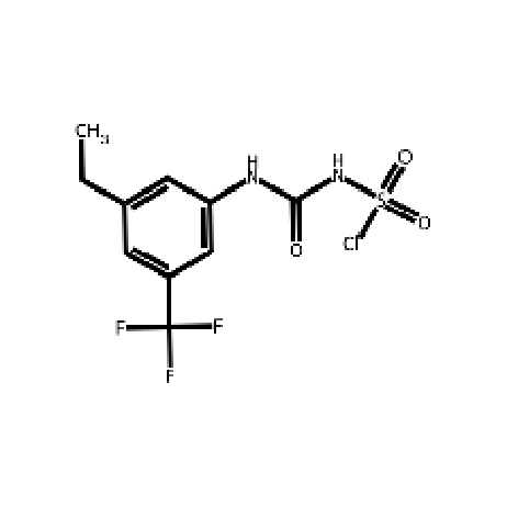 CCc1cc(NC(=O)NS(=O)(=O)Cl)cc(C(F)(F)F)c1